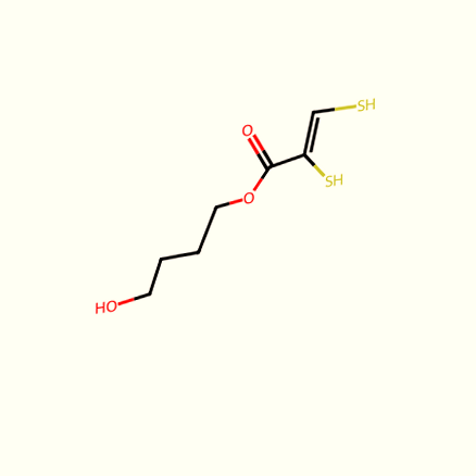 O=C(OCCCCO)C(S)=CS